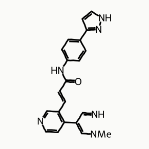 CN/C=C(\C=N)c1ccncc1/C=C/C(=O)Nc1ccc(-c2cc[nH]n2)cc1